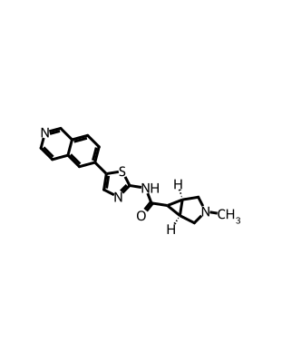 CN1C[C@@H]2C(C(=O)Nc3ncc(-c4ccc5cnccc5c4)s3)[C@@H]2C1